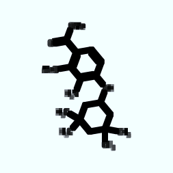 COC(=O)c1ccc(NC2CC(C)(C)CC(C)(C)C2)c(N)c1OC